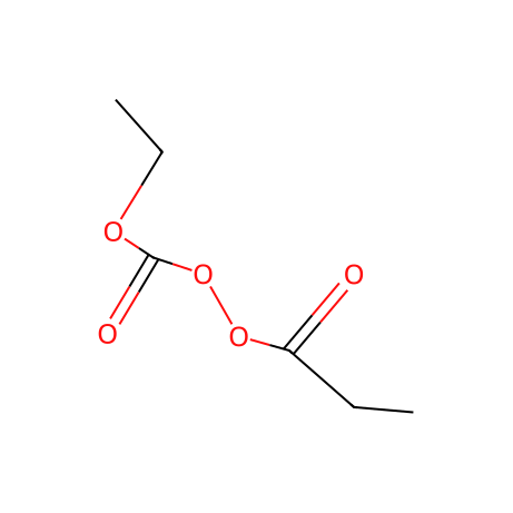 CCOC(=O)OOC(=O)CC